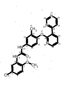 COc1ccc(Cl)cc1NC(=O)Nc1ccc(Oc2ncccc2-c2ccncn2)c(C)c1